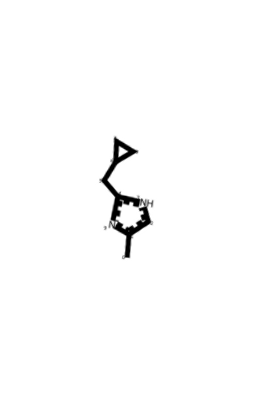 Cc1c[nH]c(CC2CC2)n1